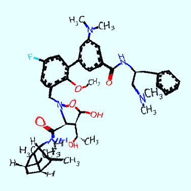 COc1c(CN2OC(O)[C@@H]([C@H](C)O)[C@H]2C(=O)N[C@H]2C[C@H]3C[C@@H]([C@@H]2C)C3(C)C)cc(F)cc1-c1cc(C(=O)N[C@@H](Cc2ccccc2)CN(C)C)cc(N(C)C)c1